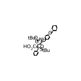 CC(C)(C)OC(=O)N[C@@H](Cc1ccc(OCc2ccccc2)cc1)[C@H](C[C@@H](Cc1ccccc1)C(=O)O)O[Si](C)(C)C(C)(C)C